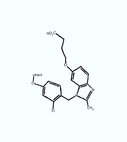 CCCCCOc1ccc(Cn2c(C)nc3ccc(OCCCC(=O)O)cc32)c(Cl)c1